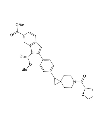 COC(=O)c1ccc2cc(-c3ccc(C4CC45CCN(C(=O)C4CCCO4)CC5)cc3)n(C(=O)OC(C)(C)C)c2c1